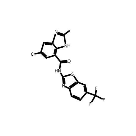 Cc1nc2cc(Cl)cc(C(=O)Nc3nc4ccc(C(F)(F)F)cc4s3)c2[nH]1